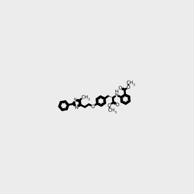 COC(=O)c1ccccc1N[C@@H](Cc1ccc(OCCc2nc(-c3ccccc3)sc2C)cc1)C(=O)OC